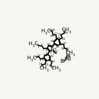 CCCCC1=C(c2cc(CCC)c(CCC)c(CCC)c2)[N+](=[N-])C(c2cc(CCCC)c(CCCC)c(CCCC)c2)=C1.[Br][Pd][Br]